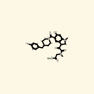 COC(=O)CN(C)C(=O)C(=O)C1CN(C)c2cc(Cl)c(C(=O)N3CCC(Cc4ccc(F)cc4)CC3)cc21